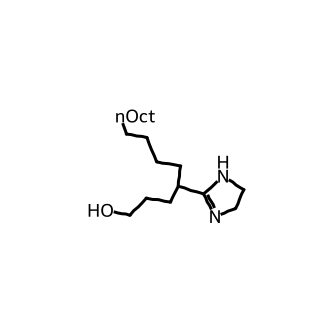 CCCCCCCCCCCCC(CCCO)C1=NCCN1